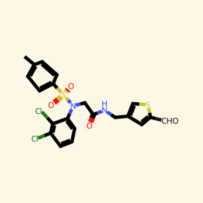 Cc1ccc(S(=O)(=O)N(CC(=O)NCc2csc(C=O)c2)c2cccc(Cl)c2Cl)cc1